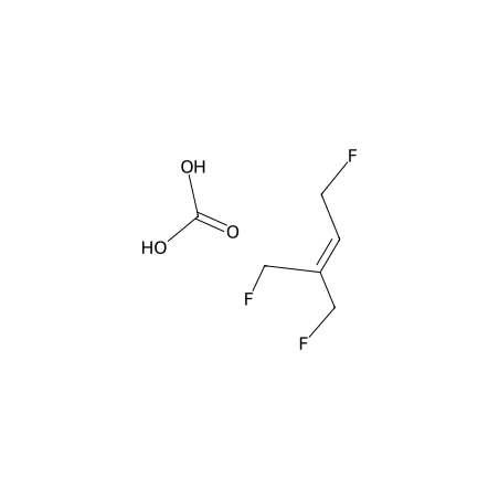 FCC=C(CF)CF.O=C(O)O